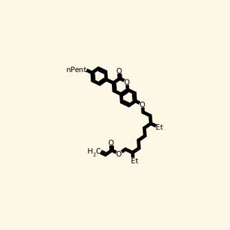 C=CC(=O)OCC(CC)CCCCC(CC)CCOc1ccc2cc(-c3ccc(CCCCC)cc3)c(=O)oc2c1